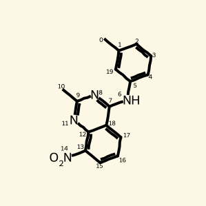 Cc1cccc(Nc2nc(C)nc3c([N+](=O)[O-])cccc23)c1